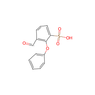 O=[C]c1cccc(S(=O)(=O)O)c1Oc1ccccc1